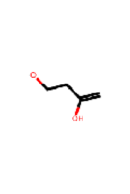 C=C(O)CC[O]